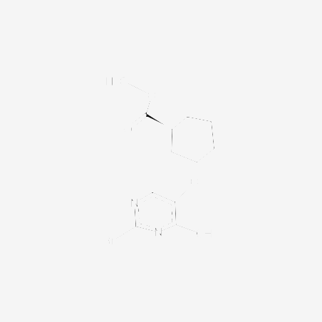 COC(=O)[C@H]1CCC[C@H](Oc2cnc(Br)nc2C)C1